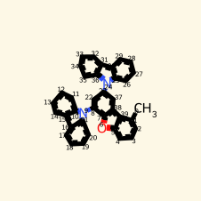 Cc1cccc2oc3c(-n4c5ccccc5c5ccccc54)cc(-n4c5ccccc5c5ccccc54)cc3c12